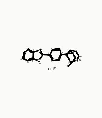 CC1C(c2ccc(-c3nc4ccccc4o3)cc2)C2CCN1CC2.Cl